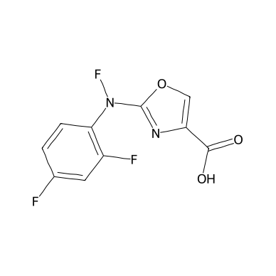 O=C(O)c1coc(N(F)c2ccc(F)cc2F)n1